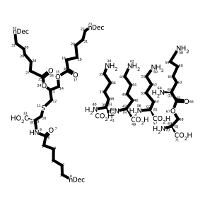 CCCCCCCCCCCCCCCC(=O)N[C@@H](CSCC(COC(=O)CCCCCCCCCCCCCCC)OC(=O)CCCCCCCCCCCCCCC)C(=O)O.NCCCC[C@H](N)C(=O)O.NCCCC[C@H](N)C(=O)O.NCCCC[C@H](N)C(=O)O.NCCCC[C@H](N)C(=O)OC[C@H](N)C(=O)O